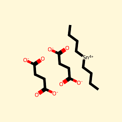 CCC[CH2][Sn+4][CH2]CCC.O=C([O-])CCC(=O)[O-].O=C([O-])CCC(=O)[O-]